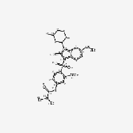 CCOc1ccc2c(c1)n(C1CCCC(C)C1)c(=O)n2S(=O)(=O)c1ccc(NC(=O)N(CC)CC)cc1OC